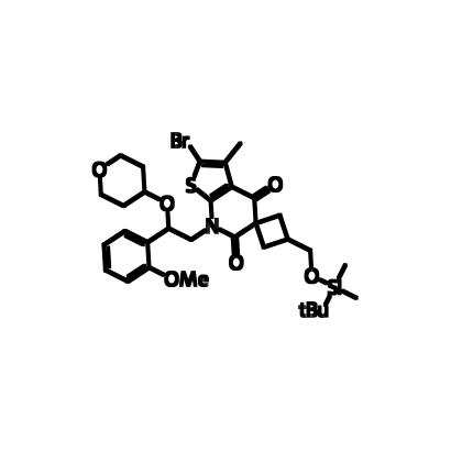 COc1ccccc1C(CN1C(=O)C2(CC(CO[Si](C)(C)C(C)(C)C)C2)C(=O)c2c1sc(Br)c2C)OC1CCOCC1